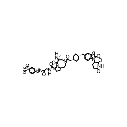 Cn1c(=O)n(C2CCC(=O)NC2=O)c2ccc(C[C@H]3CC[C@@H](CC(=O)N4CCC5CC[C@@H](C(=O)NCC(=O)NCc6ccc(S(C)(=O)=O)cc6)N5C(=O)[C@@H](N)C4)CC3)cc21